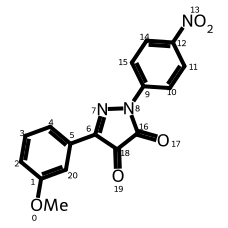 COc1cccc(C2=NN(c3ccc([N+](=O)[O-])cc3)C(=O)C2=O)c1